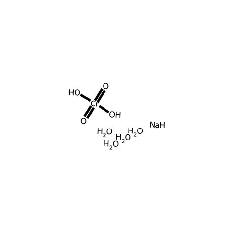 O.O.O.O.[NaH].[O]=[Cr](=[O])([OH])[OH]